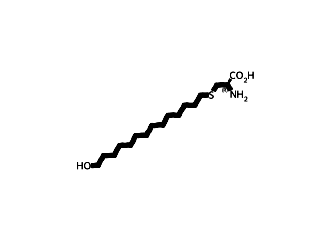 N[C@@H](CSCCCCCCCCCCCCCCO)C(=O)O